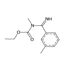 CCOC(=O)N(C)C(=N)c1cccc(C)c1